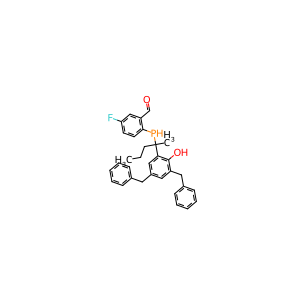 CCCC(C)(Pc1ccc(F)cc1C=O)c1cc(Cc2ccccc2)cc(Cc2ccccc2)c1O